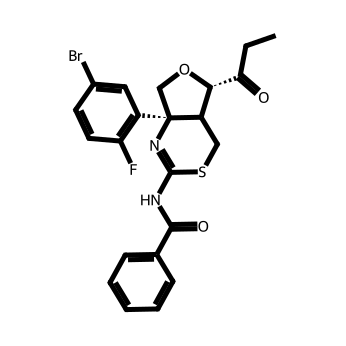 CCC(=O)[C@H]1OC[C@]2(c3cc(Br)ccc3F)N=C(NC(=O)c3ccccc3)SCC12